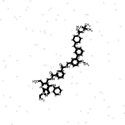 CCc1nc2c(cnn2CC)c(NC2CCOCC2)c1CNC(=O)c1cccc(C(=O)NCc2ccc(OC)c(-c3cccc(CC4CCN(C(=O)OC(C)(C)C)CC4)c3)c2)n1